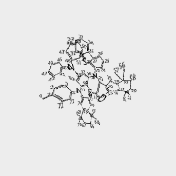 Cc1ccc(N2c3cc4c(cc3B3c5oc6cc7c(cc6c5N(c5cccc6c5sc5ccccc56)c5cc(N(c6ccccc6)c6ccccc6)cc2c53)C(C)(C)CCC7(C)C)C(C)(C)CCC4(C)C)cc1